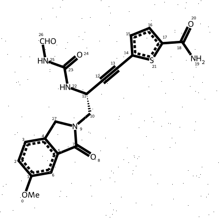 COc1ccc2c(c1)C(=O)N(C[C@@H](C#Cc1ccc(C(N)=O)s1)NC(=O)NC=O)C2